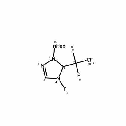 CCCCCCN1N=CN(F)C1C(F)(F)C(F)(F)F